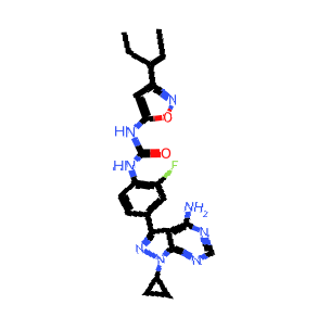 CCC(CC)c1cc(NC(=O)Nc2ccc(-c3nn(C4CC4)c4ncnc(N)c34)cc2F)on1